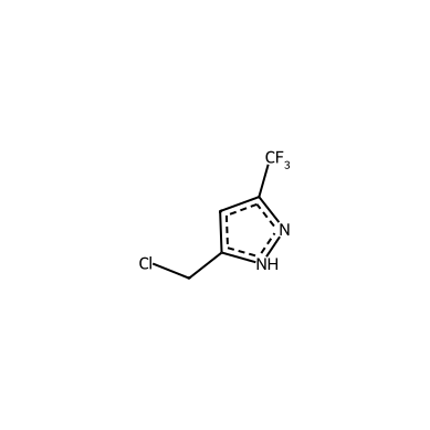 FC(F)(F)c1cc(CCl)[nH]n1